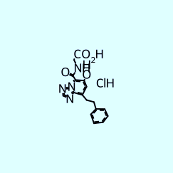 Cl.O=C(O)CNC(=O)c1c(O)cc(CCc2ccccc2)c2ncnn12